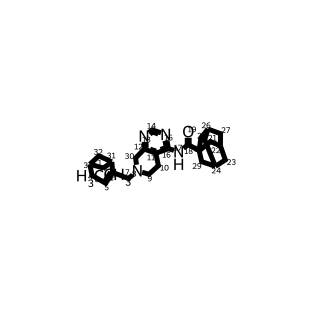 CC1(C)C2CC=C(CN3CCc4c(ncnc4NC(=O)C45CC6CC(CC(C6)C4)C5)C3)C1C2